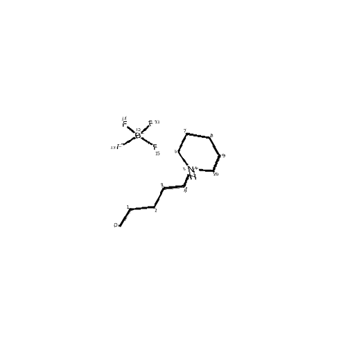 CCCCC[NH+]1CCCCC1.F[B-](F)(F)F